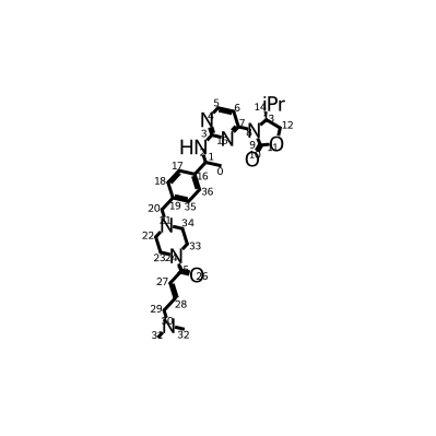 CC(Nc1nccc(N2C(=O)OC[C@@H]2C(C)C)n1)c1ccc(CN2CCN(C(=O)/C=C/CN(C)C)CC2)cc1